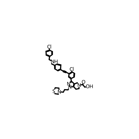 O=C(CO)N1CCc2c(c(-c3ccc(Cl)c(C#Cc4ccc(CNCc5ccc(Cl)cc5)cc4)c3)nn2CCCN2CCSCC2)C1